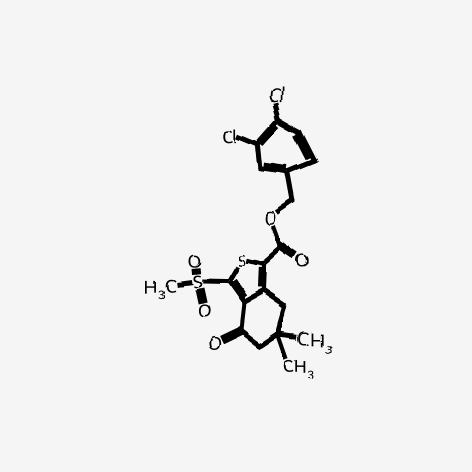 CC1(C)CC(=O)c2c(S(C)(=O)=O)sc(C(=O)OCc3ccc(Cl)c(Cl)c3)c2C1